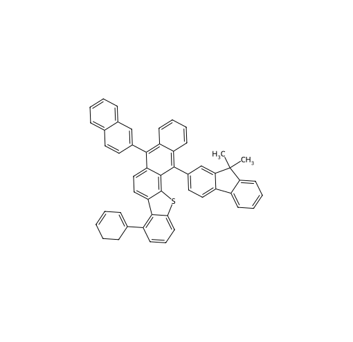 CC1(C)c2ccccc2-c2ccc(-c3c4ccccc4c(-c4ccc5ccccc5c4)c4ccc5c(sc6cccc(C7=CC=CCC7)c65)c34)cc21